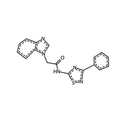 O=C(Cn1cnc2ccccc21)Nc1nc(-c2ccccc2)ns1